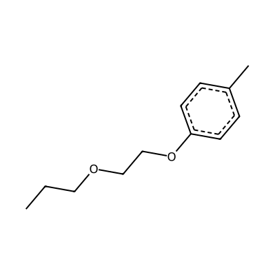 CCCOCCOc1ccc(C)cc1